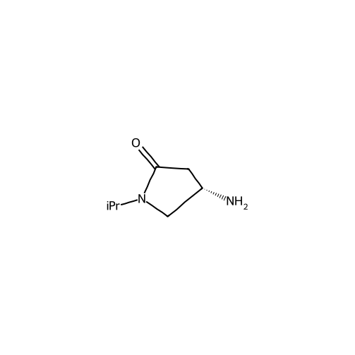 CC(C)N1C[C@@H](N)CC1=O